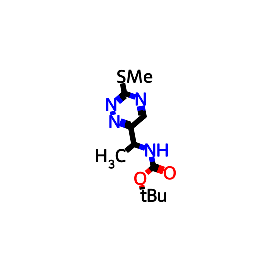 CSc1ncc(C(C)NC(=O)OC(C)(C)C)nn1